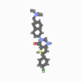 CCN(CC)Cc1ccc2c(c1)CC[C@H](n1cnc3cc(-c4ccc(Cl)cc4)sc3c1=O)C2